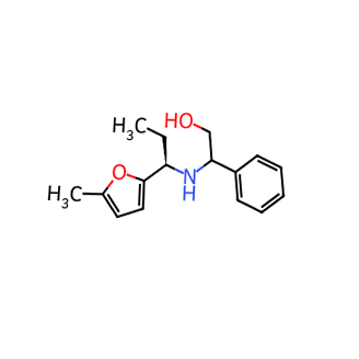 CC[C@@H](NC(CO)c1ccccc1)c1ccc(C)o1